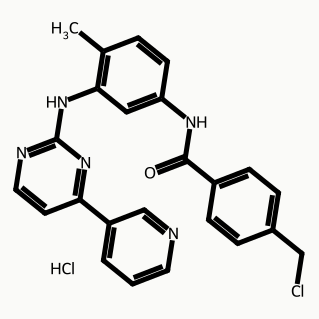 Cc1ccc(NC(=O)c2ccc(CCl)cc2)cc1Nc1nccc(-c2cccnc2)n1.Cl